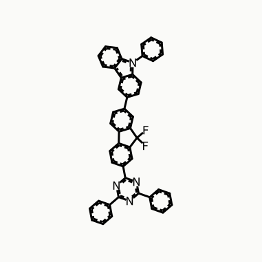 FC1(F)c2cc(-c3ccc4c(c3)c3ccccc3n4-c3ccccc3)ccc2-c2ccc(-c3nc(-c4ccccc4)nc(-c4ccccc4)n3)cc21